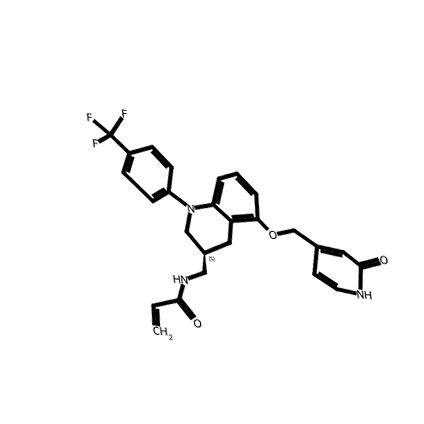 C=CC(=O)NC[C@@H]1Cc2c(OCc3cc[nH]c(=O)c3)cccc2N(c2ccc(C(F)(F)F)cc2)C1